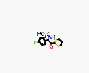 O=C(O)NC(C(=O)C1SCCCS1)c1ccc(F)cc1